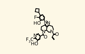 C=CC(=O)N1CCc2nn(-c3ccc(C4CCC4)c(F)c3O)c3c2C(C1)N(C(=O)c1cnc(C(F)(F)F)c(O)c1)CC3